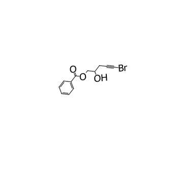 O=C(OCC(O)CC#CBr)c1ccccc1